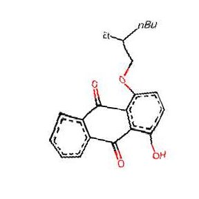 CCCCC(CC)COc1ccc(O)c2c1C(=O)c1ccccc1C2=O